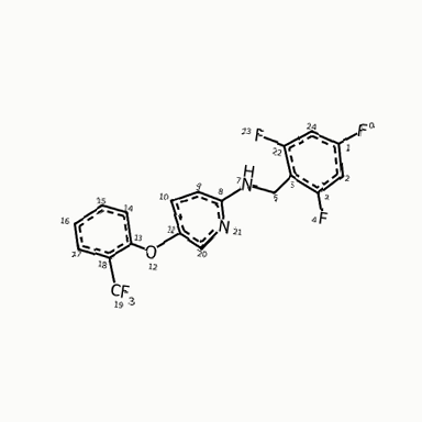 Fc1cc(F)c(CNc2ccc(Oc3ccccc3C(F)(F)F)cn2)c(F)c1